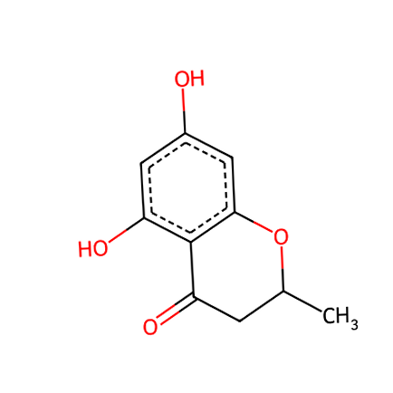 CC1CC(=O)c2c(O)cc(O)cc2O1